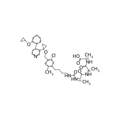 Cc1cc(COC2(c3cnccc3-c3ccccc3OC3CC3)CC2)c(Cl)cc1CCCCNC(=O)N[C@@H](C)C(=O)N[C@@H](C)C(=O)N[C@@H](C)C(=O)O